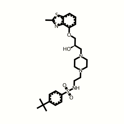 Cc1nc2c(OC[C@H](O)CN3CCN(CCNS(=O)(=O)c4ccc(C(C)(C)C)cc4)CC3)cccc2s1